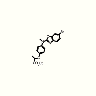 CCOC(=O)C(C)Oc1ccc(N(C)c2nc3ccc(Br)cc3o2)cc1